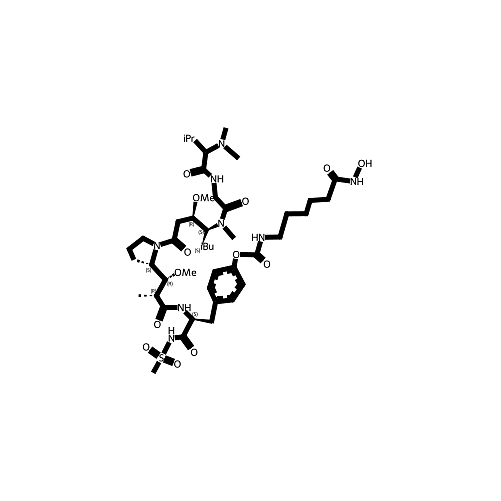 CC[C@H](C)[C@@H]([C@@H](CC(=O)N1CCC[C@H]1[C@H](OC)[C@@H](C)C(=O)N[C@@H](Cc1ccc(OC(=O)NCCCCCC(=O)NO)cc1)C(=O)NS(C)(=O)=O)OC)N(C)C(=O)CNC(=O)C(C(C)C)N(C)C